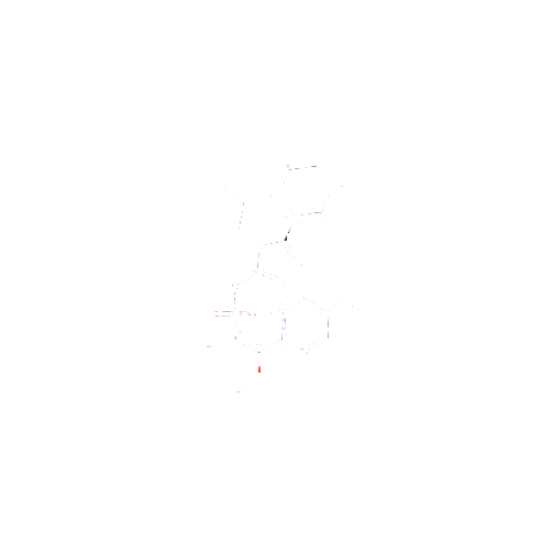 CCCn1c(NS(=O)(=O)[C@@H](C)[C@H](OC)c2ncc(Cl)cn2)nnc1[C@@H]1COCCO1